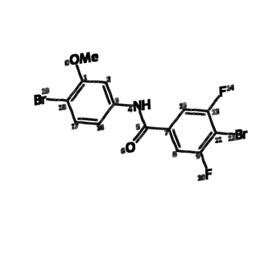 COc1cc(NC(=O)c2cc(F)c(Br)c(F)c2)ccc1Br